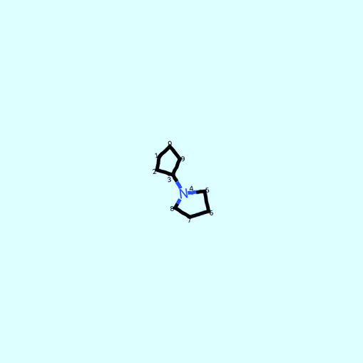 C1CC[C](N2CCCC2)C1